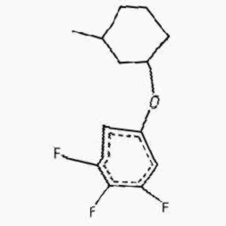 CC1CCCC(Oc2cc(F)c(F)c(F)c2)C1